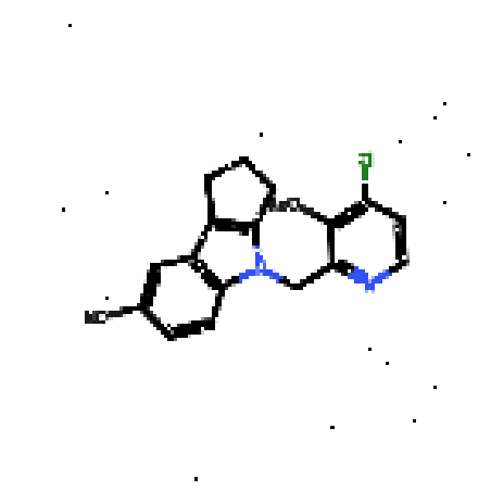 COc1c(Cl)ccnc1Cn1c2c(c3cc(C#N)ccc31)CCC2